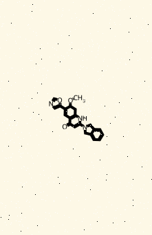 COC1Cc2[nH]c(N3Cc4ccccc4C3)cc(=O)c2C=C1c1cnco1